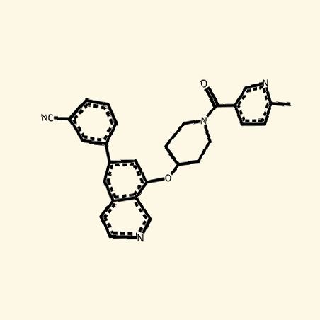 Cc1ccc(C(=O)N2CCC(Oc3cc(-c4cccc(C#N)c4)cc4ccncc34)CC2)cn1